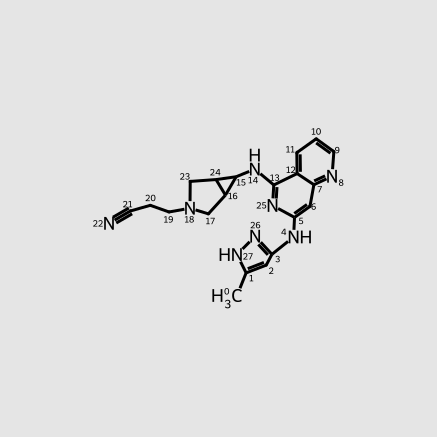 Cc1cc(Nc2cc3ncccc3c(NC3C4CN(CCC#N)CC43)n2)n[nH]1